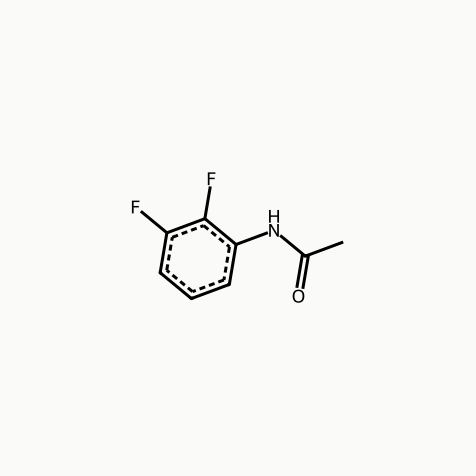 CC(=O)Nc1cccc(F)c1F